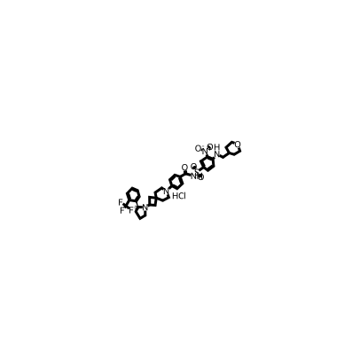 Cl.O=C(NS(=O)(=O)c1ccc(NCC2CCOCC2)c([N+](=O)[O-])c1)c1ccc(N2CCC3(CC2)CC(N2CCC[C@H]2c2ccccc2C(F)(F)F)C3)cc1